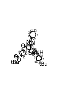 CCc1c(N2CCN(C(=O)OC(C)(C)C)CC2)c(=O)n2nc(C3=CCCCCC3)nc2n1CC(=O)Nc1ccc(C(C)(C)C)cc1